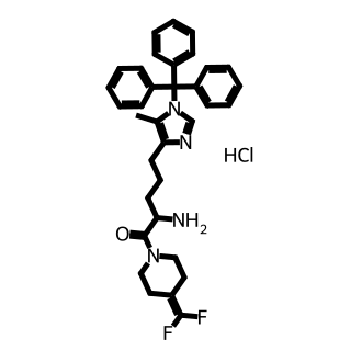 Cc1c(CCCC(N)C(=O)N2CCC(=C(F)F)CC2)ncn1C(c1ccccc1)(c1ccccc1)c1ccccc1.Cl